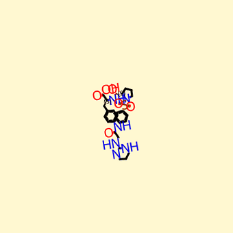 O=C(CNC1=NCCCN1)Nc1ccc(C[C@H](NC(=O)[C@@H]2CCCN2S(=O)(=O)c2ccccc2)C(=O)O)cc1